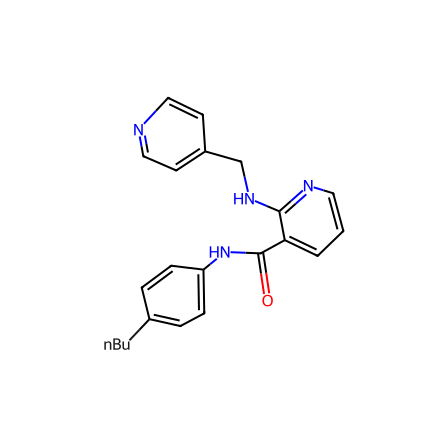 CCCCc1ccc(NC(=O)c2cccnc2NCc2ccncc2)cc1